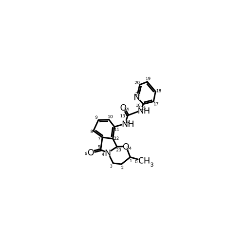 CC1CCN2C(=O)c3cccc(NC(=O)Nc4ccccn4)c3C2O1